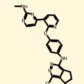 CNc1nccc(-c2cccnc2Oc2ccc(Nc3nnc(Cl)c4c3CCC4)cc2)n1